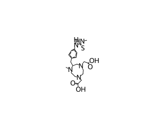 CNC(=S)Nc1ccc(CC2CN(CC(=O)O)CCN(CC(=O)O)CCN2C)cc1